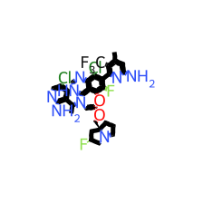 Cc1cc(N)nc(-c2c(F)c3c4c(c2Cl)=NCNC=4N(C(C)c2cc(Cl)cnc2N)C=C(OC[C@@]24CCCN2C[C@H](F)C4)O3)c1C(F)(F)F